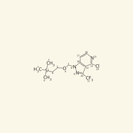 CS(C)(C)CCOCn1nc(C(F)(F)F)c2c(Cl)nccc21